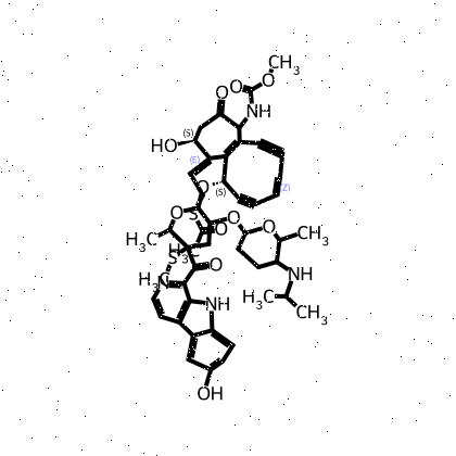 COC(=O)NC1C(=O)C[C@H](O)/C(=C/CSC(C)=O)C2=C1C#C/C=C\C#C[C@@H]2OC1OC(C)C(SC)(C(=O)c2nccc3c2[nH]c2ccc(O)cc23)CC1OC1CCC(NC(C)C)C(C)O1